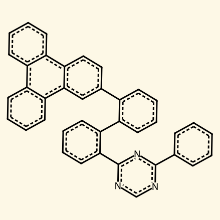 c1ccc(-c2ncnc(-c3ccccc3-c3ccccc3-c3ccc4c5ccccc5c5ccccc5c4c3)n2)cc1